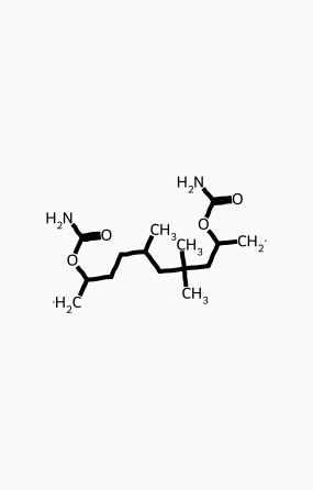 [CH2]C(CCC(C)CC(C)(C)CC([CH2])OC(N)=O)OC(N)=O